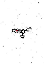 COC(C)c1cc(-c2nccs2)c2oc(N3CC4CCC(C3)N4C(=O)O)nc2c1